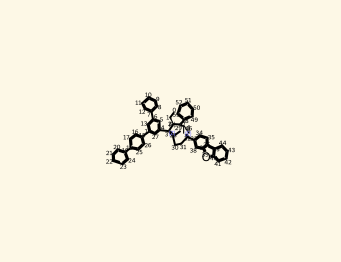 CC[C@@H]1/C(c2cc(-c3ccccc3)cc(-c3ccc(-c4ccccc4)cc3)c2)=C(\C)CC/C(c2ccc3c(c2)oc2ccccc23)=N\C1c1ccccc1